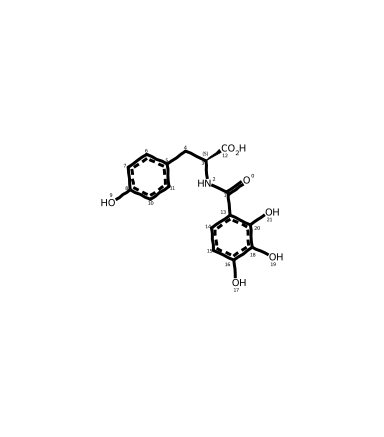 O=C(N[C@@H](Cc1ccc(O)cc1)C(=O)O)c1ccc(O)c(O)c1O